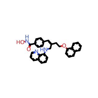 O=C(NO)c1ccc(C=C(CCOc2cccc3ccccc23)CNc2cccc3cccnc23)cc1